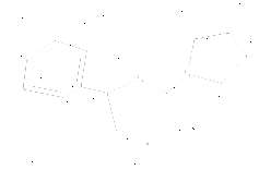 OCC(NCN1CCCC1)c1ccccc1